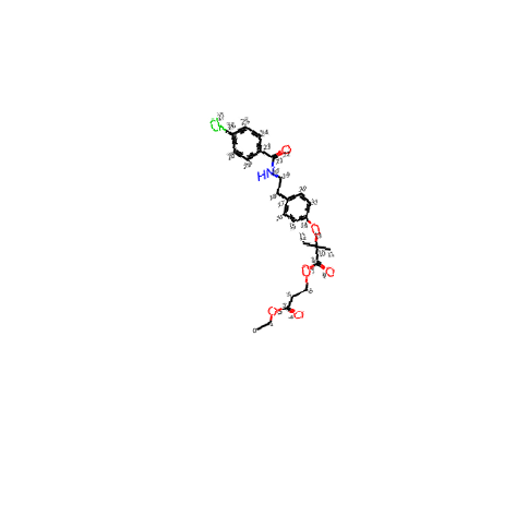 CCOC(=O)CCOC(=O)C(C)(C)Oc1ccc(CCNC(=O)c2ccc(Cl)cc2)cc1